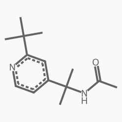 CC(=O)NC(C)(C)c1ccnc(C(C)(C)C)c1